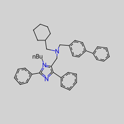 CCCCn1c(-c2ccccc2)nc(-c2ccccc2)c1CN(Cc1ccc(-c2ccccc2)cc1)CC1CCCCC1